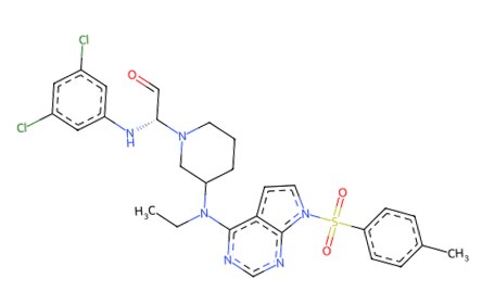 CCN(c1ncnc2c1ccn2S(=O)(=O)c1ccc(C)cc1)C1CCCN([C@@H](C=O)Nc2cc(Cl)cc(Cl)c2)C1